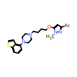 CC(=O)c1cc(OCCCCN2CCN(c3cccc4sccc34)CC2)n(C)n1